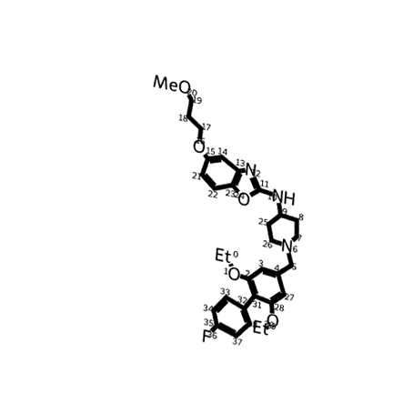 CCOc1cc(CN2CCC(Nc3nc4cc(OCCCOC)ccc4o3)CC2)cc(OCC)c1-c1ccc(F)cc1